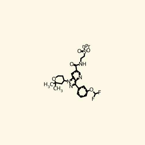 CCCS(=O)(=O)CCNC(=O)c1cnc2c(-c3cccc(OC(F)F)c3)nn(C3CCOC(C)(C)C3)c2c1